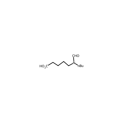 CCCCN(C=O)CCCCC(=O)O